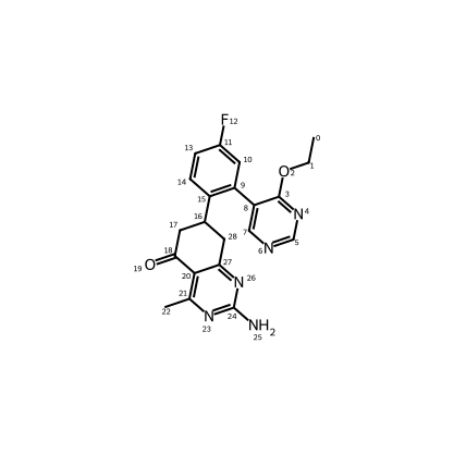 CCOc1ncncc1-c1cc(F)ccc1C1CC(=O)c2c(C)nc(N)nc2C1